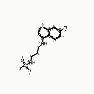 CS(=O)(=O)NCCCNc1ccnc2cc(Cl)ccc12